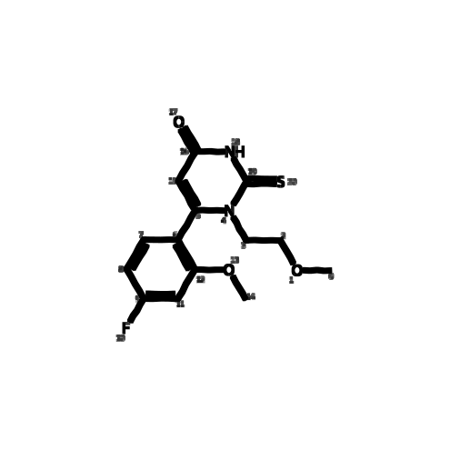 COCCn1c(-c2ccc(F)cc2OC)cc(=O)[nH]c1=S